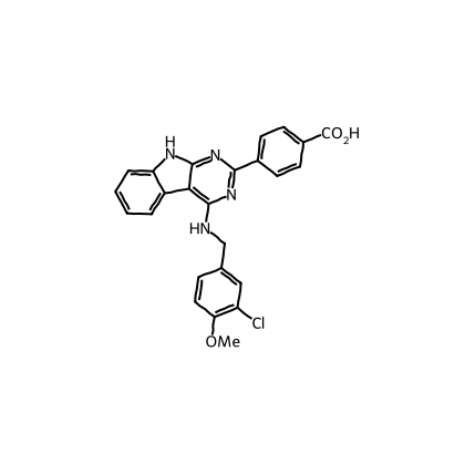 COc1ccc(CNc2nc(-c3ccc(C(=O)O)cc3)nc3[nH]c4ccccc4c23)cc1Cl